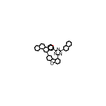 c1ccc(-c2nc(-c3ccc4ccccc4c3)nc(-c3cccc4oc5ccc(-c6cc7c8ccccc8ccc7c7ccccc67)cc5c34)n2)cc1